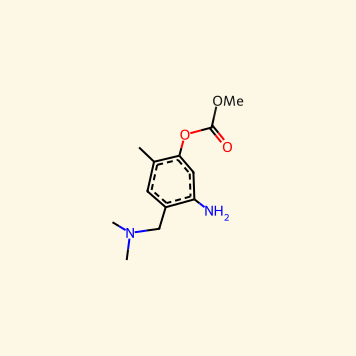 COC(=O)Oc1cc(N)c(CN(C)C)cc1C